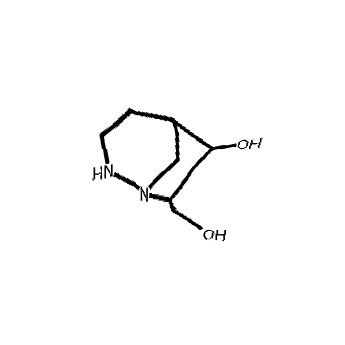 OC1C2CCNN(C2)C1O